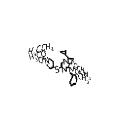 CC(C)(C)OC(=O)N1CCC(Sc2cn3c(C4CC4)cnc3c(N(Cc3ccccc3)C(=O)OC(C)(C)C)n2)CC1